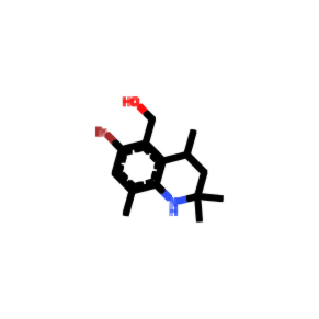 Cc1cc(Br)c(CO)c2c1NC(C)(C)CC2C